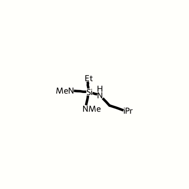 CC[Si](NC)(NC)NCC(C)C